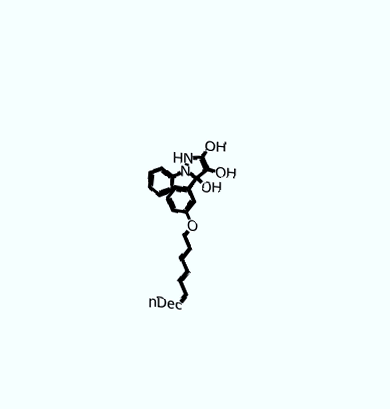 CCCCCCCCCCCCCCCCOc1cccc(C2(O)C(O)=C(O)NN2c2ccccc2)c1